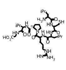 CC(C)CC(N)C(=O)NC(CS)C(=O)NC(CC(C)C)C(=O)NC(CCCNC(=N)N)C(=O)N1CCC[C@H]1C(=O)NC(C(=O)NCC(=O)O)C(C)C